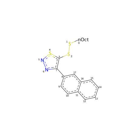 CCCCCCCCSSc1snnc1-c1ccc2ccccc2c1